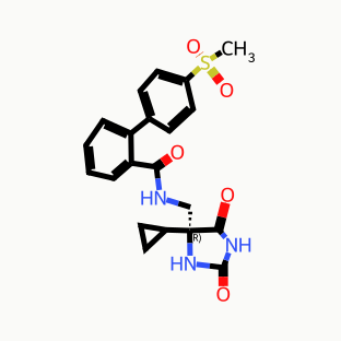 CS(=O)(=O)c1ccc(-c2ccccc2C(=O)NC[C@@]2(C3CC3)NC(=O)NC2=O)cc1